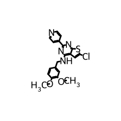 COc1ccc(CNc2nc(-c3ccncc3)nc3sc(Cl)cc23)cc1OC